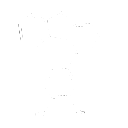 Cc1ccc(-c2cccc3sc4ccccc4c23)cc1C